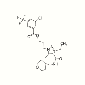 CCc1nn(CCCOC(=O)c2cc(Cl)cc(C(F)(F)F)c2)c2c1C(=O)NCC1(CCOCC1)C2